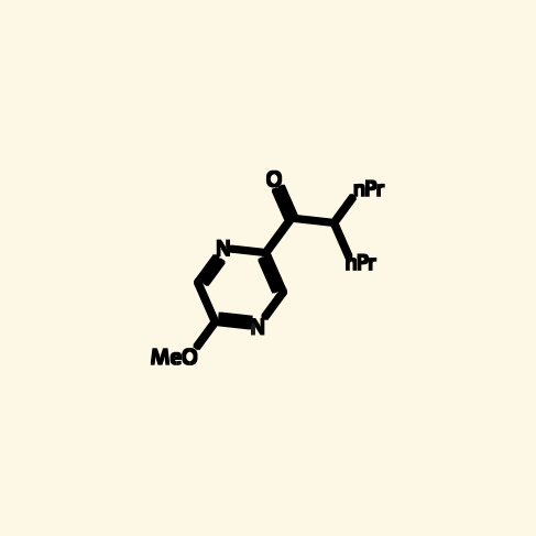 CCCC(CCC)C(=O)c1cnc(OC)cn1